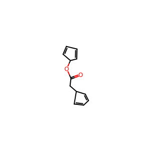 O=C(CC1C=CC=C1)OC1C=CC=C1